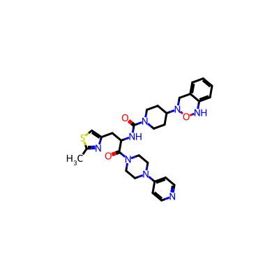 Cc1nc(CC(NC(=O)N2CCC(N3Cc4ccccc4NO3)CC2)C(=O)N2CCN(c3ccncc3)CC2)cs1